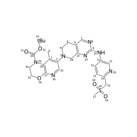 Cc1c(N2CCc3cnc(Nc4ccc(CS(C)(=O)=O)nc4)nc3C2)cnc2c1N(C(=O)OC(C)(C)C)CCO2